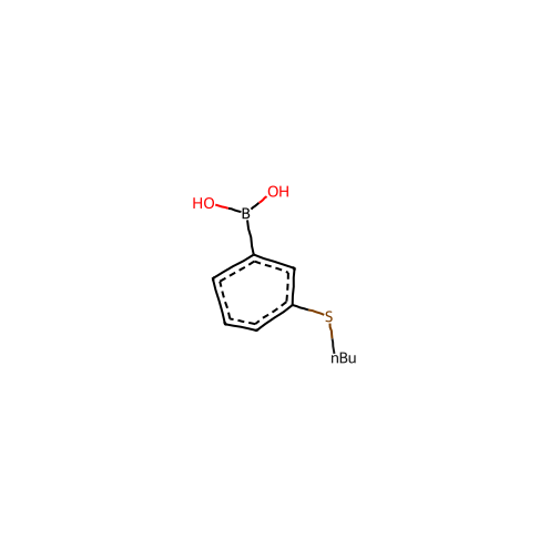 CCCCSc1cccc(B(O)O)c1